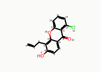 C=CCc1c(O)ccc2c(=O)c3c(Cl)cccc3oc12